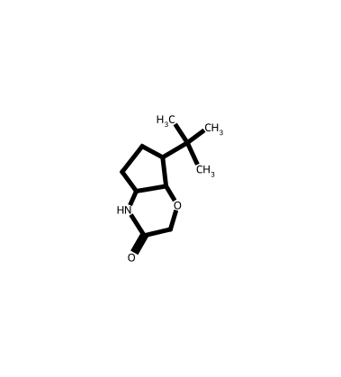 CC(C)(C)C1CCC2NC(=O)COC21